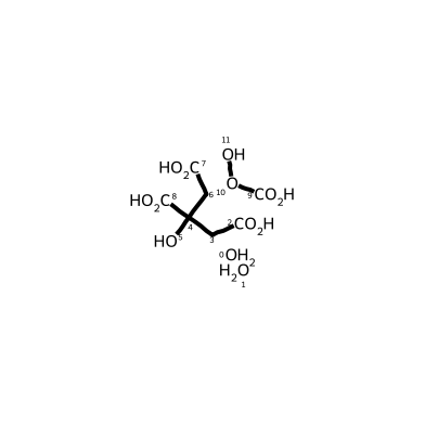 O.O.O=C(O)CC(O)(CC(=O)O)C(=O)O.O=C(O)OO